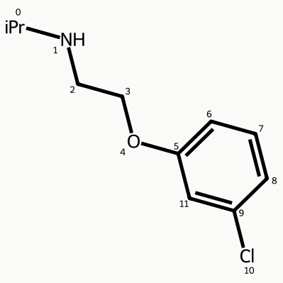 CC(C)NCCOc1cccc(Cl)c1